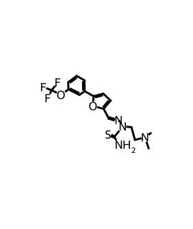 CN(C)CCN(/N=C/c1ccc(-c2cccc(OC(F)(F)F)c2)o1)C(N)=S